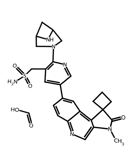 CN1C(=O)C2(CCC2)c2c1cnc1ccc(-c3cnc(N4CC5CC(C4)N5)c(CS(N)(=O)=O)c3)cc21.O=CO